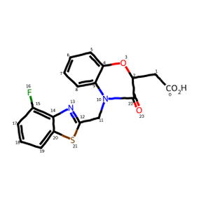 O=C(O)CC1Oc2ccccc2N(Cc2nc3c(F)cccc3s2)C1=O